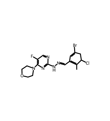 CC1=C(/C=N/Nc2ncc(F)c(N3CCOCC3)n2)C=C(Br)CC1Cl